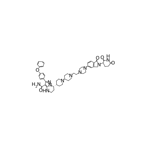 NC(=O)c1c(-c2ccc(Oc3ccccc3)cc2)nn2c1NCC[C@H]2C1CCN(C2CCN(CCN3CCN(c4ccc5c(c4)CN(C4CCC(=O)NC4=O)C5=O)CC3)CC2)CC1